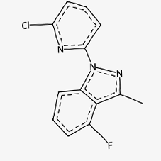 Cc1nn(-c2cccc(Cl)n2)c2cccc(F)c12